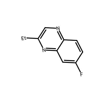 CCc1cnc2ccc(F)cc2n1